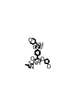 CO[C@@H]1CC[C@@H](O/N=C(/C(=O)Nc2ncc(C)s2)c2ccc(S(=O)(=O)NC3CCOCC3)cc2)C1